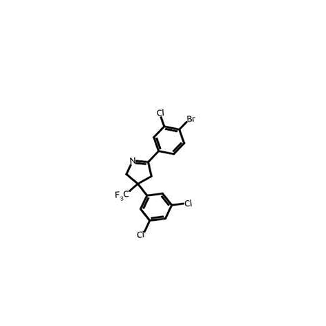 FC(F)(F)C1(c2cc(Cl)cc(Cl)c2)CN=C(c2ccc(Br)c(Cl)c2)C1